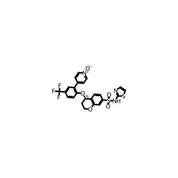 O=S(=O)(Nc1nccs1)c1ccc2c(c1)OCC[C@H]2Oc1ccc(C(F)(F)F)cc1-c1cc[n+]([O-])cc1